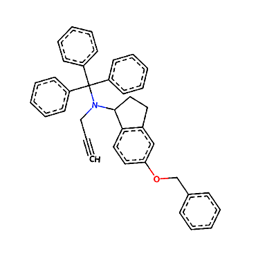 C#CCN(C1CCc2cc(OCc3ccccc3)ccc21)C(c1ccccc1)(c1ccccc1)c1ccccc1